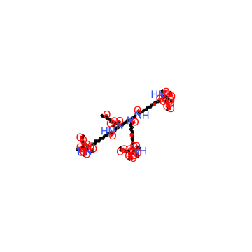 CCC(=O)CCC(=O)OC(CC)C(=O)N(CCCCN(CCCNC(=O)CCCCCCCCCO[C@@H]1OC(COC(C)=O)[C@H](OC(C)=O)[C@H](OC(C)=O)C1NC(C)=O)C(=O)CCCCCCCCCO[C@@H]1OC(COC(C)=O)[C@H](OC(C)=O)[C@H](OC(C)=O)C1NC(C)=O)CCCNC(=O)CCCCCCCCCO[C@@H]1OC(COC(C)=O)[C@H](OC(C)=O)[C@H](OC(C)=O)C1NC(C)=O